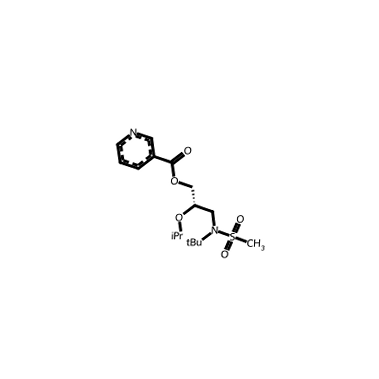 CC(C)O[C@H](COC(=O)c1cccnc1)CN(C(C)(C)C)S(C)(=O)=O